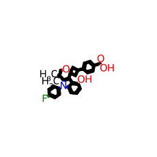 CC1(C)COC2(CC(c3ccc(C(=O)O)cc3)C2)c2c1n(-c1ccc(F)cc1)c1cccc(O)c21